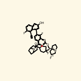 C#Cc1c(F)ccc2cc(O)cc(-c3ccc4c(N5CC6CCC(C5)N6C(=O)C5CCC(F)(F)CC5)nc(OC[C@@]56CCCN5C[C@H](F)C6)nc4c3F)c12